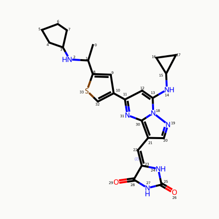 CC(NC1CCCC1)c1cc(-c2cc(NC3CC3)n3ncc(/C=C4\NC(=O)NC4=O)c3n2)cs1